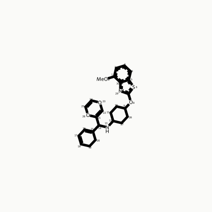 COc1cccc2sc(OC3CCC(NC(C4=CC=CCC4)C4=COC=CO4)CC3)nc12